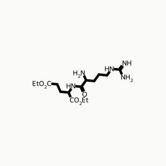 CCOC(=O)CCC(NC(=O)C(N)CCCNC(=N)N)C(=O)OCC